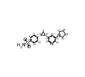 NS(=O)(=O)c1ccc([C@@H]2C[C@H]2c2cncc(N3CCCC3)c2)cc1